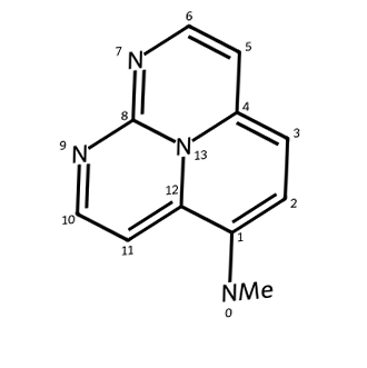 CNC1=CC=C2C=CN=C3N=CC=C1N23